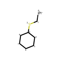 C[C](C)CSC1CCCCC1